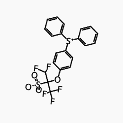 O=S(=O)([O-])C(Oc1ccc([S+](c2ccccc2)c2ccccc2)cc1)(C(F)F)C(F)(F)F